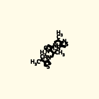 CC(C)c1cscc1NCC(C)c1nocc1NCC(C)c1nscc1N